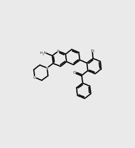 CCc1cccc(C(=O)c2ccccc2)c1-c1ccc2nc(N)c(N3CCOCC3)cc2c1